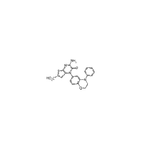 Nc1nc2sc(C(=O)O)cc2n(-c2ccc3c(c2)N(c2ccccc2)CCO3)c1=O